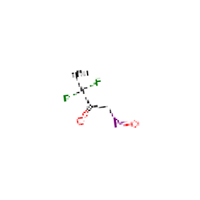 CCCCC(F)(F)C(=O)CP=O